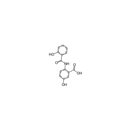 O=C(Nc1ccc(O)cc1C(=O)O)c1ccccc1O